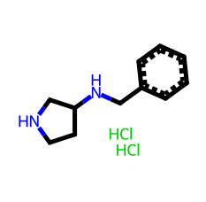 Cl.Cl.c1ccc(CNC2CCNC2)cc1